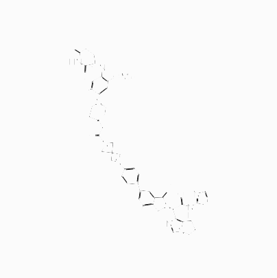 COc1cc(N2CCC(O)(CC(=O)N3CC4(C3)CN(c3ccc(-c5cc(F)c6c(c5)C(=O)N(C(C(=O)Nc5nccs5)c5ncn7c5CCC7)C6)cc3)C4)CC2)c(F)cc1N[C@H]1CCC(=O)NC1=O